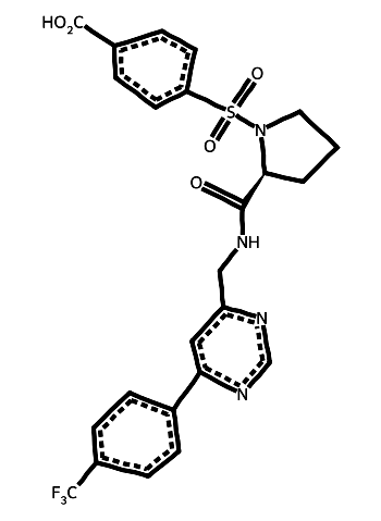 O=C(O)c1ccc(S(=O)(=O)N2CCC[C@H]2C(=O)NCc2cc(-c3ccc(C(F)(F)F)cc3)ncn2)cc1